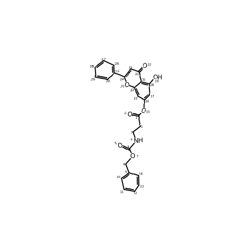 O=C(CCNC(=O)OCc1ccccc1)Oc1cc(O)c2c(=O)cc(-c3ccccc3)oc2c1